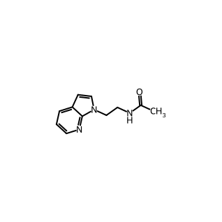 CC(=O)NCCn1ccc2cccnc21